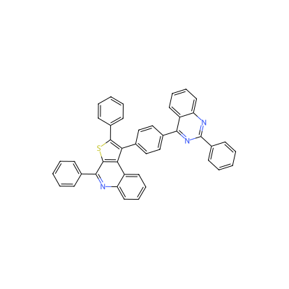 c1ccc(-c2nc(-c3ccc(-c4c(-c5ccccc5)sc5c(-c6ccccc6)nc6ccccc6c45)cc3)c3ccccc3n2)cc1